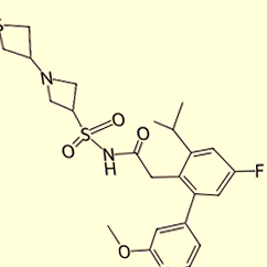 COc1cc(-c2cc(F)cc(C(C)C)c2CC(=O)NS(=O)(=O)C2CN(C3CSC3)C2)ccn1